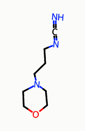 N=C=NCCCN1CCOCC1